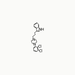 Clc1cccc(N2CCN(CCCc3c[nH]c4ccccc34)CC2)c1Cl